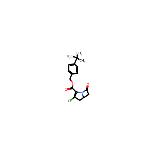 CC(C)(C)c1ccc(COC(=O)C2=C(Cl)CC3CC(=O)N23)cc1